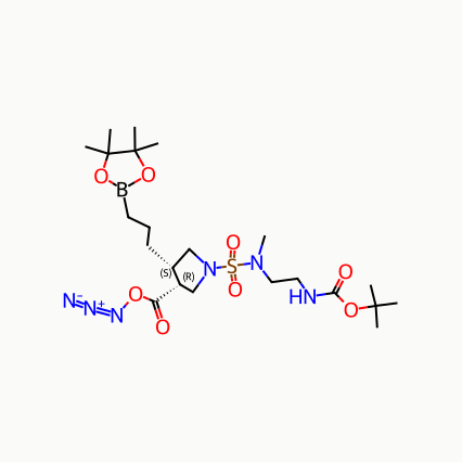 CN(CCNC(=O)OC(C)(C)C)S(=O)(=O)N1C[C@@H](CCCB2OC(C)(C)C(C)(C)O2)[C@@H](C(=O)ON=[N+]=[N-])C1